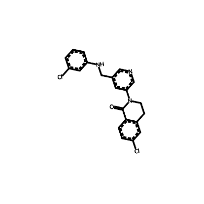 O=C1c2ccc(Cl)cc2CCN1c1cncc(CNc2cccc(Cl)c2)c1